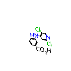 O=C(O)c1cccc(Nc2cc(Cl)ncc2Cl)c1